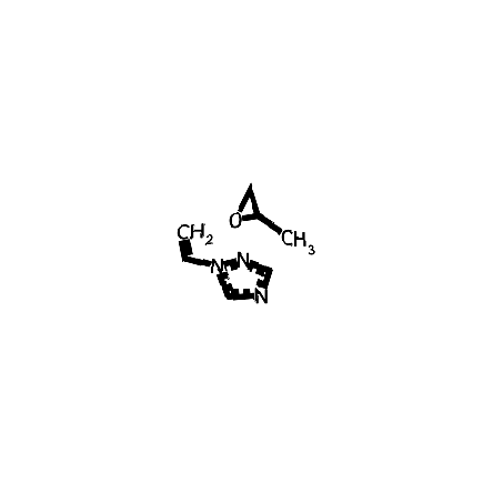 C=Cn1cncn1.CC1CO1